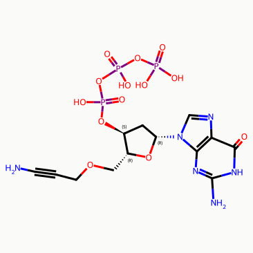 NC#CCOC[C@H]1O[C@@H](n2cnc3c(=O)[nH]c(N)nc32)C[C@@H]1OP(=O)(O)OP(=O)(O)OP(=O)(O)O